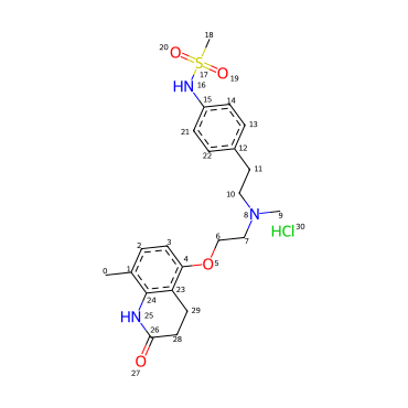 Cc1ccc(OCCN(C)CCc2ccc(NS(C)(=O)=O)cc2)c2c1NC(=O)CC2.Cl